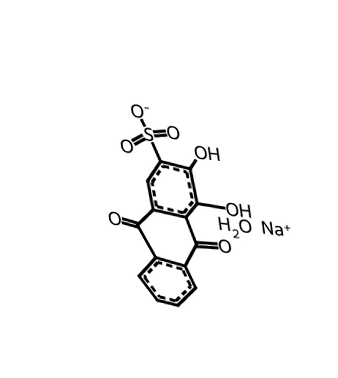 O.O=C1c2ccccc2C(=O)c2c1cc(S(=O)(=O)[O-])c(O)c2O.[Na+]